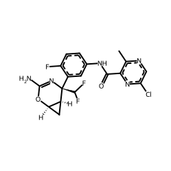 Cc1ncc(Cl)nc1C(=O)Nc1ccc(F)c([C@@]2(C(F)F)N=C(N)O[C@@H]3C[C@@H]32)c1